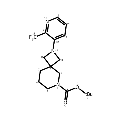 CC(C)(C)OC(=O)N1CCCC2(C1)CN(c1cccnc1C(F)(F)F)C2